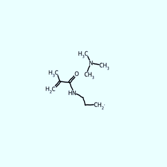 CN(C)C.[CH2]CCNC(=O)C(=C)C